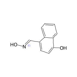 O/N=C/c1ccc(O)c2ccccc12